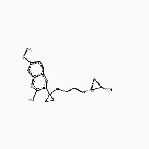 COc1ccc2nc(C3(CCCC[C@@H]4CC4C)CC3)c(O)nc2c1